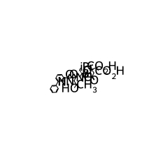 CC(C)C[C@H](NC(=O)[C@@H](NC(=O)c1cccc(-c2ccccc2)n1)[C@@H](C)O)B1OC(=O)CC(CC(=O)O)(C(=O)O)O1